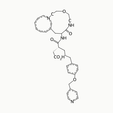 O=C(O)C[C@@H](CCCc1ccc(OCc2ccncc2)cc1)C(=O)NC1Cc2ccccccn(c2)CCOCCNC1=O